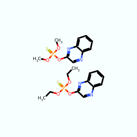 CCOP(=S)(OCC)Oc1cnc2ccccc2n1.COP(=S)(OC)Oc1cnc2ccccc2n1